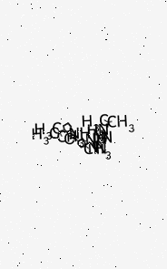 Cc1ccc(C(=O)Nc2cccc(C(C)(C)C)c2)cc1Nc1ncnc2cnc(NCC(C)C)nc12